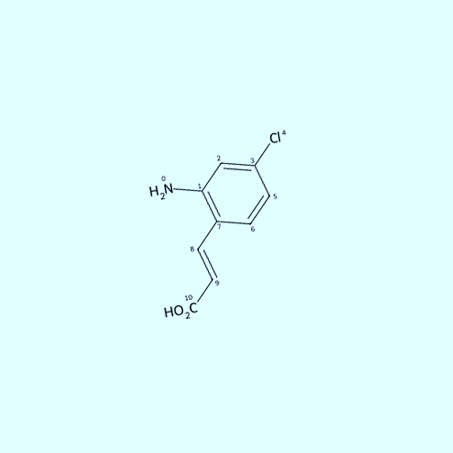 Nc1cc(Cl)ccc1C=CC(=O)O